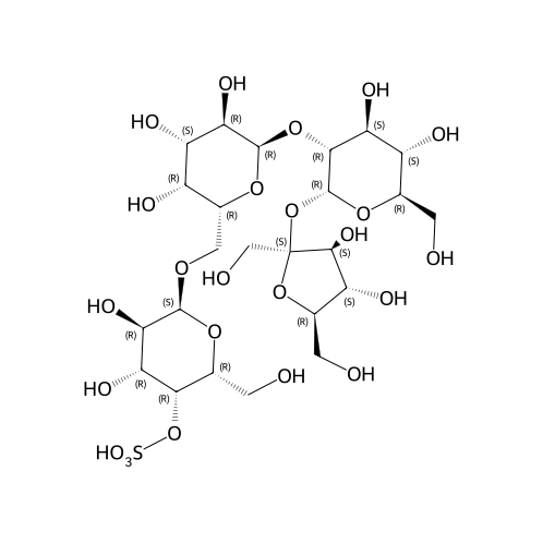 O=S(=O)(O)O[C@@H]1[C@H](O)[C@@H](O)[C@@H](OC[C@H]2O[C@H](O[C@H]3[C@@H](O[C@]4(CO)O[C@H](CO)[C@@H](O)[C@@H]4O)O[C@H](CO)[C@@H](O)[C@@H]3O)[C@H](O)[C@@H](O)[C@H]2O)O[C@@H]1CO